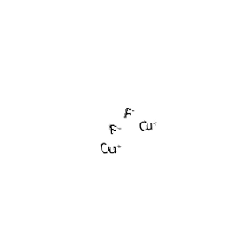 [Cu+].[Cu+].[F-].[F-]